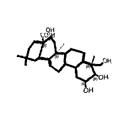 CC1(C)CC[C@@]2(C(=O)O)C(C1)C1=CCC3C4C[C@H](O)[C@H](O)[C@@](C)(CO)C4CCC3[C@]1(C)C[C@H]2O